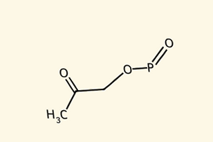 CC(=O)COP=O